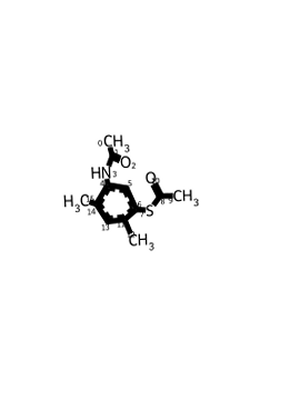 CC(=O)Nc1cc(SC(C)=O)c(C)cc1C